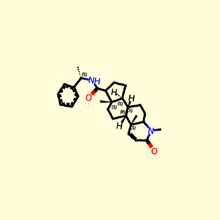 C[C@H](NC(=O)C1CC[C@H]2[C@@H]3CCC4N(C)C(=O)C=C[C@]4(C)[C@@H]3CC[C@]12C)c1ccccc1